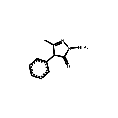 CC(=O)NN1N=C(C)C(c2ccccc2)C1=O